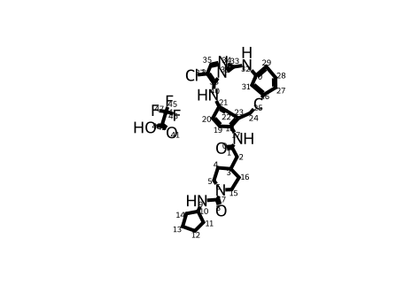 O=C(CC1CCN(C(=O)NC2CCCC2)CC1)Nc1ccc2cc1CCc1cccc(c1)Nc1ncc(Cl)c(n1)N2.O=C(O)C(F)(F)F